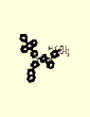 CC(C)(C)c1ccc(-n2c3ccccc3c3cc(N(c4ccc(-c5ccc6ccccc6c5)cc4)c4ccc(-c5c6ccccc6c(-c6ccccc6)c6ccccc56)cc4)ccc32)cc1